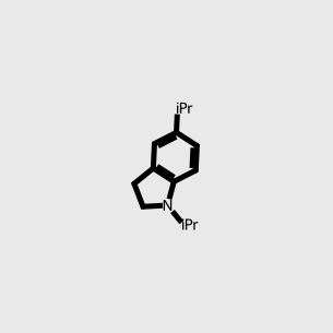 CC(C)c1ccc2c(c1)CCN2C(C)C